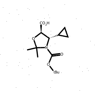 CC(C)(C)OC(=O)N1[C@@H](C2CC2)[C@H](C(=O)O)OC1(C)C